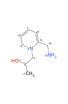 CC(O)CN1CC=CC=C1CN